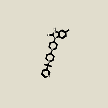 Cc1ccc2c(c1)[nH]c(=O)n2C1CCN(C2CCN(C(C)(C)c3cccnc3)CC2)CC1